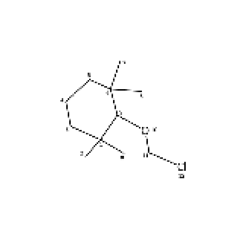 CC1(C)CCCC(C)(C)C1OCCl